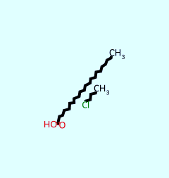 CCCCCCCCCCCCCCCCCCCCCC(=O)O.CCCCCCl